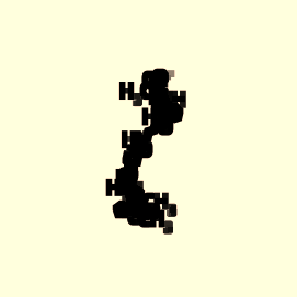 CC(=O)c1c(C)c2cnc(Nc3ccc(N4CCN(CC(=O)NCCCCC(=O)Nc5ccccc5C(=O)Nc5nc(C)c([N+](=O)[O-])s5)CC4)cn3)nc2n(C2CCCC2)c1=O